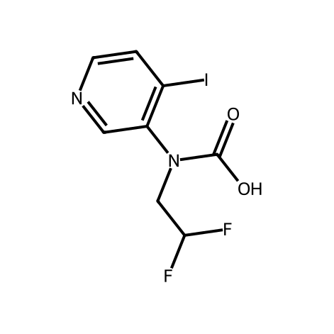 O=C(O)N(CC(F)F)c1cnccc1I